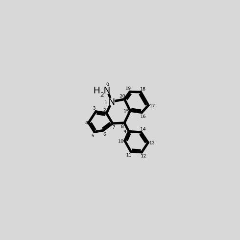 NN1c2ccccc2C(c2ccccc2)c2ccccc21